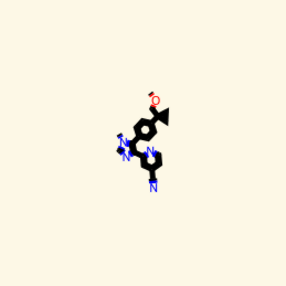 COCC1(c2ccc(-c3c(-c4cc(C#N)ccn4)ncn3C)cc2)CC1